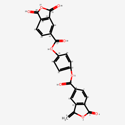 C=C1OC(=O)c2ccc(C(=O)Oc3ccc(OC(=O)c4ccc5c(c4)C(=O)OC5=O)cc3)cc21